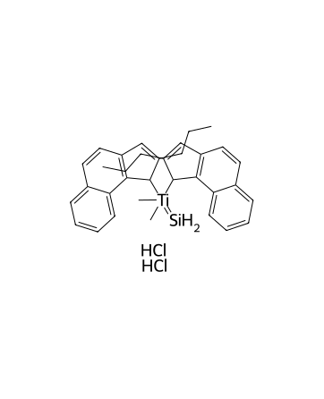 CCCC1=Cc2ccc3ccccc3c2[CH]1[Ti]([CH3])([CH3])(=[SiH2])[CH]1C(CCC)=Cc2ccc3ccccc3c21.Cl.Cl